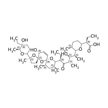 CC[C@@H](C(=O)O)C1CC[C@H](C)C([C@@H](C)[C@H](O)[C@H](C)C(=O)[C@H](CC)C2O[C@]3(C=C[C@@H](O)[C@]4(CC[C@@](C)(C5CC[C@](O)(CC)[C@H](C)O5)O4)O3)[C@H](C)C[C@@H]2C)O1